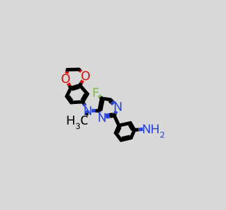 CN(c1ccc2c(c1)OCCO2)c1nc(-c2cccc(N)c2)ncc1F